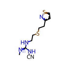 C/N=C(\NC#N)NCCSCCc1ccsn1